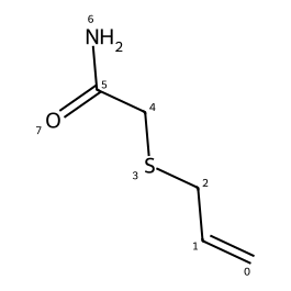 C=CCSCC(N)=O